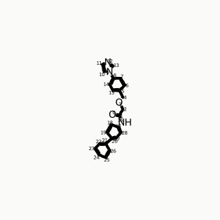 O=C(COCc1ccc(-n2ccnc2)cc1)Nc1ccc(-c2ccccc2)cc1